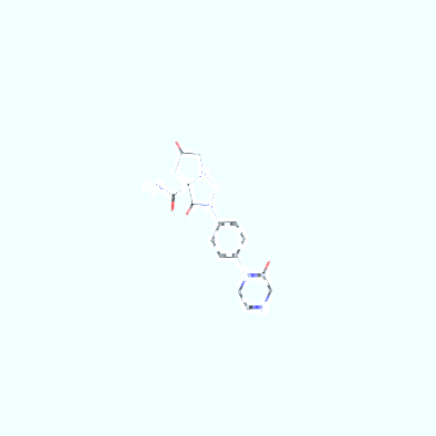 NC(=O)[C@@]12[CH]C(=O)CN1SN(c1ccc(-n3ccncc3=O)cc1)C2=O